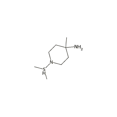 C[SH](C)N1CCC(C)(N)CC1